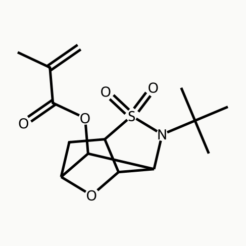 C=C(C)C(=O)OC1C2CC3C(O2)C1N(C(C)(C)C)S3(=O)=O